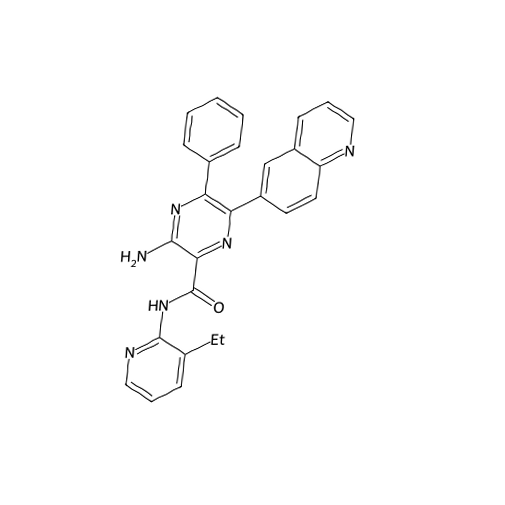 CCc1cccnc1NC(=O)c1nc(-c2ccc3ncccc3c2)c(-c2ccccc2)nc1N